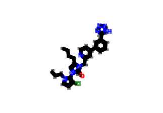 CCCCc1cn(-c2c(Cl)ccn2CCC)c(=O)n1Cc1cc(-c2cccc(-c3nnn[nH]3)c2)ccn1